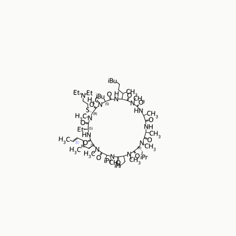 C/C=C/C[C@@H](C)C[C@H]1C(=O)N[C@@H](CC)C(=O)N(C)[C@H](SCCN(CC)CC)C(=O)N(C)[C@@H](C(C)CC)C(=O)NC(C(C)CCC(C)CC)C(=O)N(C)C(=O)NC(C)C(=O)NC(C)C(=O)N(C)[C@H](CC(C)C)C(=O)N(C)C(CC(C)C)C(=O)N(C)C(C(C)C)C(=O)N1C